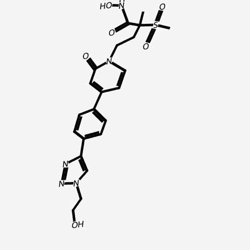 CC(CCn1ccc(-c2ccc(-c3cn(CCO)nn3)cc2)cc1=O)(C(=O)NO)S(C)(=O)=O